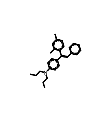 CCCN(CCC)c1ccc(C(=Cc2ccccc2)c2ccc(C)cc2C)cc1